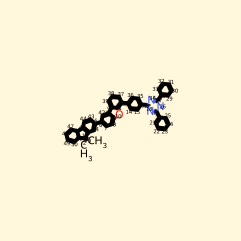 CC1(C)c2cc(-c3ccc4oc5c(-c6ccc(-c7nc(-c8ccccc8)nc(-c8ccccc8)n7)cc6)cccc5c4c3)ccc2C2C=CC=CC21